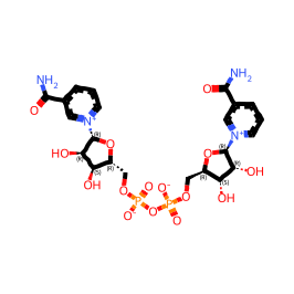 NC(=O)c1ccc[n+]([C@@H]2O[C@H](COP(=O)([O-])OP(=O)([O-])OC[C@H]3O[C@@H]([n+]4cccc(C(N)=O)c4)[C@H](O)[C@@H]3O)[C@@H](O)[C@H]2O)c1